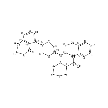 O=C(C1CCCCC1)N1c2ccccc2CCC1CN1CCN(c2cccc3c2OCCO3)CC1